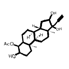 C#CC1(O)C(O)C[C@H]2[C@@H]3CCC4C(OC(C)=O)C(O)CC[C@]4(C)[C@@H]3CC[C@@]21C